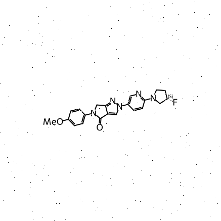 COc1ccc(N2Cc3nn(-c4ccc(N5CC[C@H](F)C5)nc4)cc3C2=O)cc1